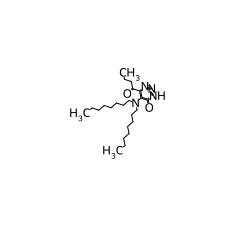 CCCCCCCCN(CCCCCCCC)c1c(C(=O)CCC)nn[nH]c1=O